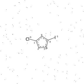 Clc1csc(I)c1